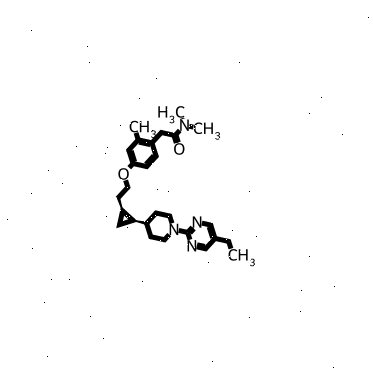 CCc1cnc(N2CCC([C@H]3C[C@H]3CCOc3ccc(CC(=O)N(C)C)c(C)c3)CC2)nc1